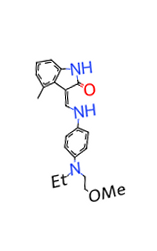 CCN(CCOC)c1ccc(NC=C2C(=O)Nc3cccc(C)c32)cc1